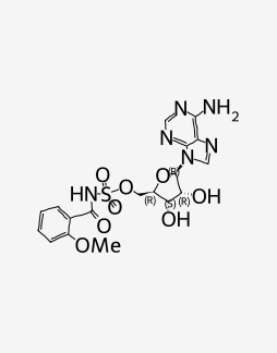 COc1ccccc1C(=O)NS(=O)(=O)OC[C@H]1O[C@@H](n2cnc3c(N)ncnc32)[C@H](O)[C@@H]1O